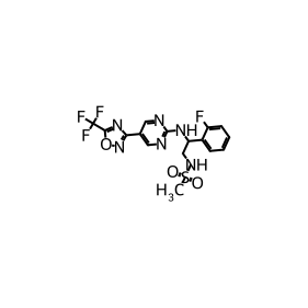 CS(=O)(=O)NCC(Nc1ncc(-c2noc(C(F)(F)F)n2)cn1)c1ccccc1F